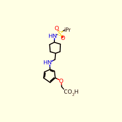 CC(C)S(=O)(=O)NC1CCC(CNc2cccc(OCC(=O)O)c2)CC1